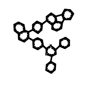 c1ccc(-c2cc(-c3ccccc3)nc(-c3ccc(-c4ccc5ccccc5c4-c4ccc(-c5ccc6c7c(cccc57)-c5ccccc5-6)cc4)cc3)n2)cc1